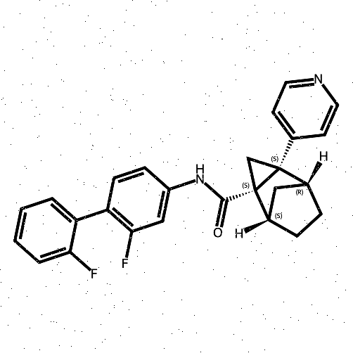 O=C(Nc1ccc(-c2ccccc2F)c(F)c1)[C@]12C[C@@]1(c1ccncc1)[C@@H]1CC[C@H]2C1